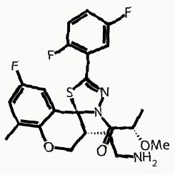 CO[C@@H](C)C(=O)N1N=C(c2cc(F)ccc2F)S[C@@]12c1cc(F)cc(C)c1OC[C@H]2CCN